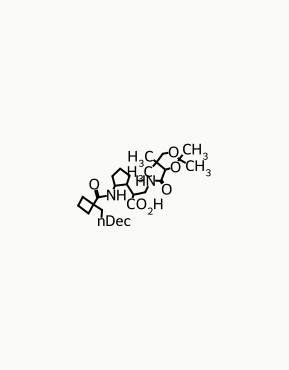 CCCCCCCCCCCC1(C(=O)NC2CCCC2C(CNC(=O)C2OC(C)(C)OCC2(C)C)C(=O)O)CCC1